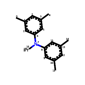 Cc1cc(C)cc(N(c2cc(C)cc(C)c2)C(C)C)c1